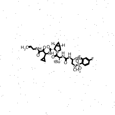 C=CCNC(=O)C(=O)C(NC(=O)[C@@H]1[C@H]2C[C@H]2CN1C(=O)[C@@H](NC(=O)N[C@H](CN(C)S(=O)(=O)c1ccc(F)cc1F)C(C)(C)C)C(C)(C)C)C1CC1